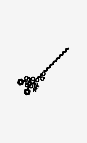 CCCCCCCCCCCCCCCCOCC(CO[C@@H]1OC2COC(c3ccccc3)O[C@@H]2C(OC(=O)c2ccccc2)[C@@H]1N=[N+]=[N-])OC